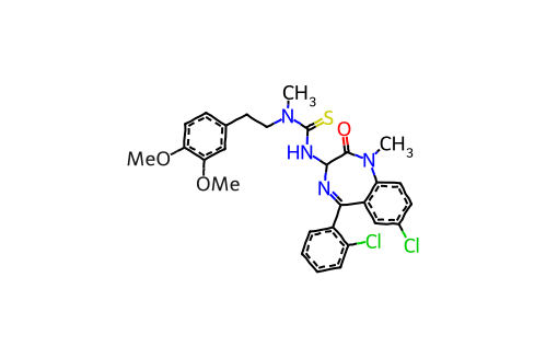 COc1ccc(CCN(C)C(=S)NC2N=C(c3ccccc3Cl)c3cc(Cl)ccc3N(C)C2=O)cc1OC